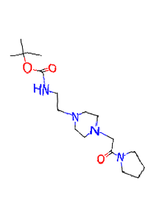 CC(C)(C)OC(=O)NCCN1CCN(CC(=O)N2CCCC2)CC1